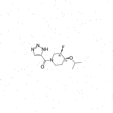 CC(C)O[C@H]1CCN(C(=O)c2cnn[nH]2)C[C@H]1F